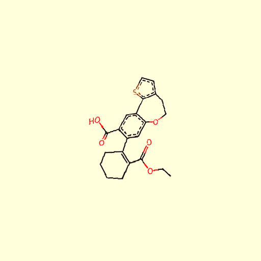 CCOC(=O)C1=C(c2cc3c(cc2C(=O)O)-c2sccc2CCO3)CCCC1